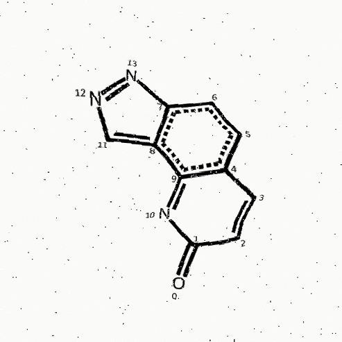 O=C1C=Cc2ccc3c(c2=N1)=CN=N3